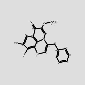 O=C(O)Oc1cn2c3c(c(F)c(F)cc3c1=O)OC=C2Cc1ccccc1